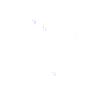 COC(=O)C(=[N+]=[N-])c1ccncc1